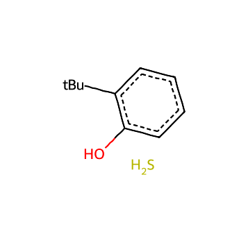 CC(C)(C)c1ccccc1O.S